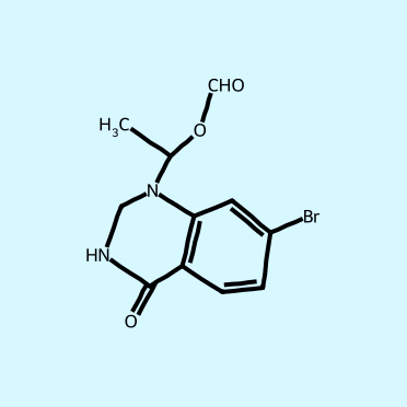 CC(OC=O)N1CNC(=O)c2ccc(Br)cc21